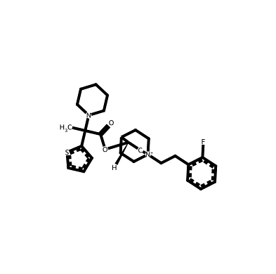 CC(C(=O)O[C@H]1C[N+]2(CCc3ccccc3F)CCC1CC2)(c1cccs1)N1CCCCC1